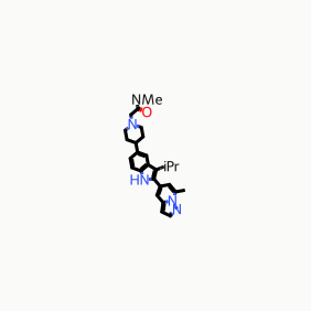 CNC(=O)CN1CCC(c2ccc3[nH]c(-c4cc(C)n5nccc5c4)c(C(C)C)c3c2)CC1